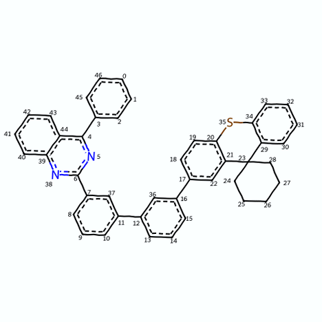 c1ccc(-c2nc(-c3cccc(-c4cccc(-c5ccc6c(c5)C5(CCCCC5)c5ccccc5S6)c4)c3)nc3ccccc23)cc1